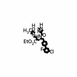 CCOC(=O)[C@H](CCN1CC(C)(O)C1)C[C@@H](Cc1ccc(-c2cc(Cl)ccc2F)cc1)NC(=O)c1c[nH]nn1